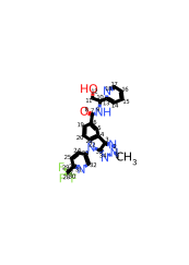 Cn1nc2c3cc(C(=O)NC(CO)c4ccccn4)ccc3n(-c3ccc(C(F)(F)F)nc3)c2n1